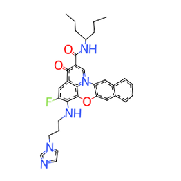 CCCC(CCC)NC(=O)c1cn2c3c(c(NCCCn4ccnc4)c(F)cc3c1=O)Oc1cc3ccccc3cc1-2